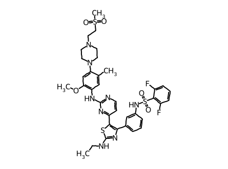 CCNc1nc(-c2cccc(NS(=O)(=O)c3c(F)cccc3F)c2)c(-c2ccnc(Nc3cc(C)c(N4CCN(CCS(C)(=O)=O)CC4)cc3OC)n2)s1